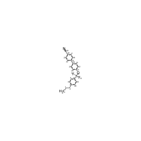 CCCc1ccc(C(F)(F)Oc2ccc(-c3ccc(C#N)cc3)cc2)cc1